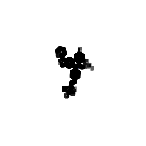 CC/C(=C(\c1ccc(C=Cc2noc(=O)[nH]2)cc1)c1ccc2c(cnn2C2CCCCO2)c1)c1ccc(F)cc1Cl